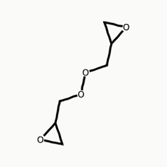 C(OOCC1CO1)C1CO1